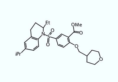 CCC1CCc2cc(C(C)C)ccc2N1S(=O)(=O)c1ccc(OCC2CCOCC2)c(C(=O)OC)c1